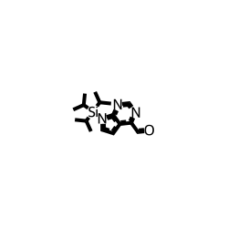 CC(C)[Si](C(C)C)(C(C)C)n1ccc2c(C=O)ncnc21